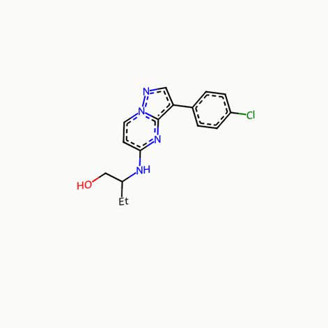 CCC(CO)Nc1ccn2ncc(-c3ccc(Cl)cc3)c2n1